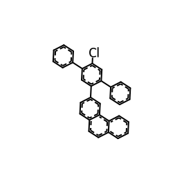 Clc1cc(-c2ccccc2)c(-c2ccc3ccc4ccccc4c3c2)cc1-c1ccccc1